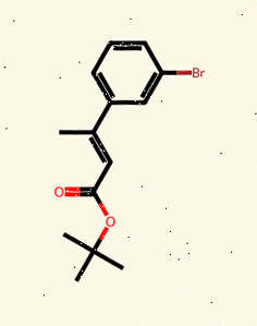 CC(=CC(=O)OC(C)(C)C)c1cccc(Br)c1